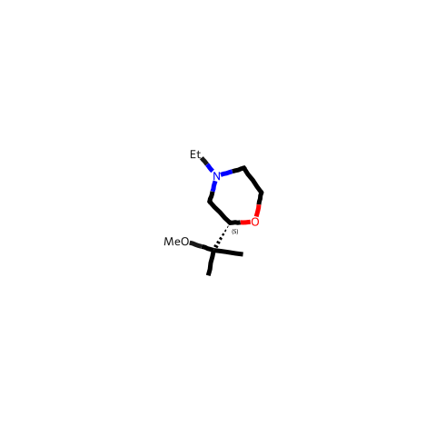 CCN1CCO[C@H](C(C)(C)OC)C1